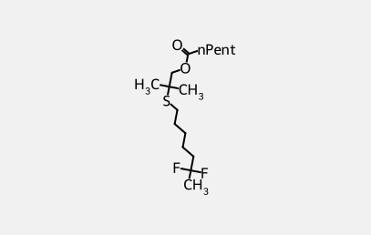 CCCCCC(=O)OCC(C)(C)SCCCCCC(C)(F)F